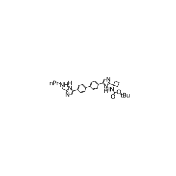 CCCNCc1ncc(-c2ccc(-c3ccc(-c4cnc(C5(NC(=O)OC(C)(C)C)CCC5)[nH]4)cc3)cc2)[nH]1